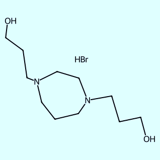 Br.OCCCN1CCCN(CCCO)CC1